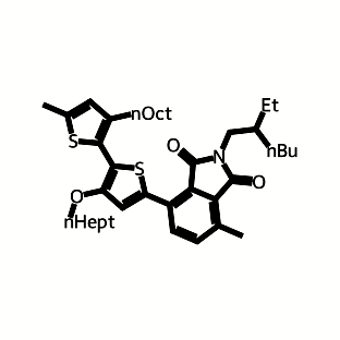 CCCCCCCCc1cc(C)sc1-c1sc(-c2ccc(C)c3c2C(=O)N(CC(CC)CCCC)C3=O)cc1OCCCCCCC